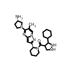 Cc1cn2nc([C@@H]3CCCCN3C(=O)C3CNNC3C3CCCCC3)cc2nc1N1CC[C@H](N)C1